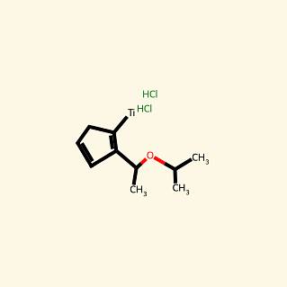 CC(C)OC(C)C1=[C]([Ti])CC=C1.Cl.Cl